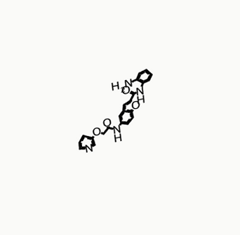 Nc1ccccc1NC(=O)c1cc2cc(NC(=O)COc3cccnc3)ccc2o1